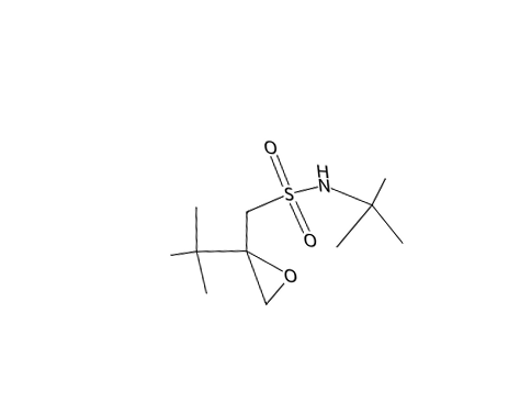 CC(C)(C)NS(=O)(=O)CC1(C(C)(C)C)CO1